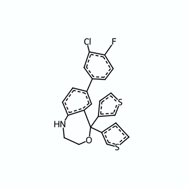 Fc1ccc(-c2ccc3c(c2)C(c2ccsc2)(c2ccsc2)OCCN3)cc1Cl